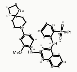 COc1cc(N2CCC3(CC2)OCCO3)ccc1Nc1nc(Nc2ccccc2S(=O)(=O)C(C)C)c2ccccc2n1